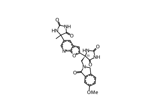 COc1ccc2c(c1)C(=O)N(C[C@@]1(c3cc4cc(C5(C)NC(=O)NC5=O)cnc4o3)NC(=O)NC1=O)C2